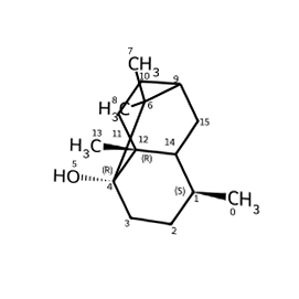 C[C@H]1CC[C@@]2(O)C(C)(C)C3CC[C@]2(C)C1C3